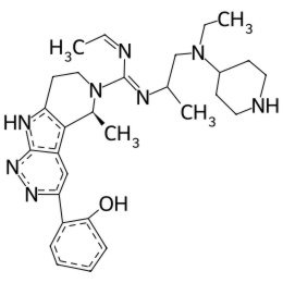 C/C=N\C(=N/C(C)CN(CC)C1CCNCC1)N1CCc2[nH]c3nnc(-c4ccccc4O)cc3c2[C@@H]1C